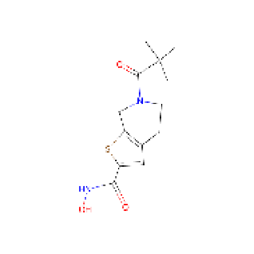 CC(C)(C)C(=O)N1CCc2cc(C(=O)NO)sc2C1